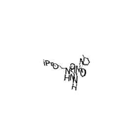 Cc1cccc(C(=O)Nc2c[nH]nc2C(=O)NCCCOC(C)C)n1